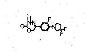 O=C1NN=C(c2ccc(N3CCC(F)(F)C3)c(F)c2)CO1